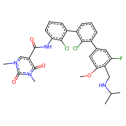 COc1cc(-c2cccc(-c3cccc(NC(=O)c4cn(C)c(=O)n(C)c4=O)c3Cl)c2Cl)cc(F)c1CNC(C)C